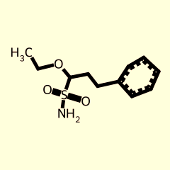 CCOC(CCc1ccccc1)S(N)(=O)=O